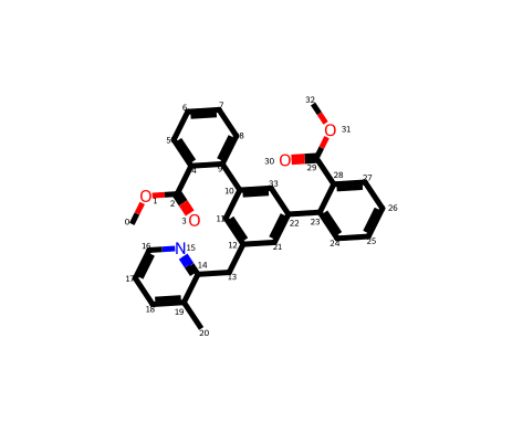 COC(=O)c1ccccc1-c1cc(Cc2ncccc2C)cc(-c2ccccc2C(=O)OC)c1